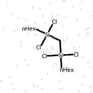 CCCCCC[Si](Cl)(Cl)C[Si](Cl)(Cl)CCCCCC